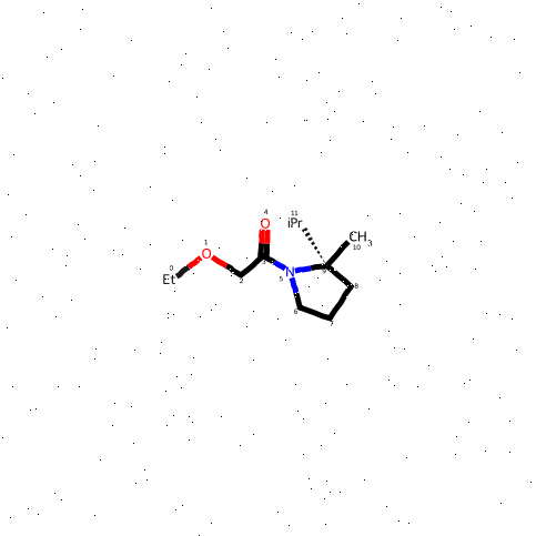 CCOCC(=O)N1CCC[C@@]1(C)C(C)C